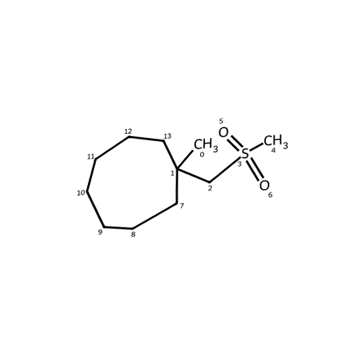 CC1(CS(C)(=O)=O)CCCCCCC1